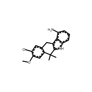 COc1cc2c(cc1Cl)Cc1c([nH]c3cccc(N)c13)C2(C)C